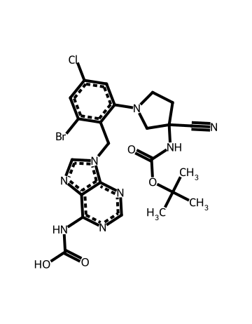 CC(C)(C)OC(=O)NC1(C#N)CCN(c2cc(Cl)cc(Br)c2Cn2cnc3c(NC(=O)O)ncnc32)C1